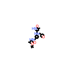 Cc1cc(-c2nc3cc(CNC(CC(C)C)C(=O)OCC(C)(C)C)ccc3n2CC2CCOCC2)c[nH]c1=O